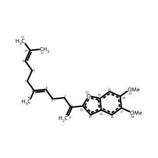 C=C(CC/C=C(\C)CCC=C(C)C)c1cc2cc(OC)c(OC)cc2o1